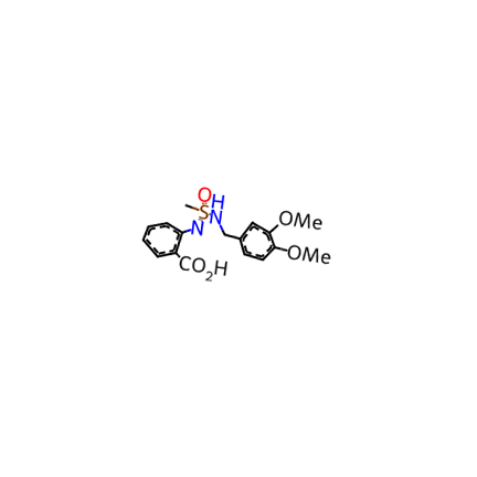 COc1ccc(CNS(C)(=O)=Nc2ccccc2C(=O)O)cc1OC